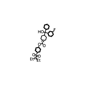 CCN(CC)S(=O)(=O)c1ccc(OC(=O)N2CCC(C(O)(c3ccccc3)c3cccc(F)c3)CC2)cc1